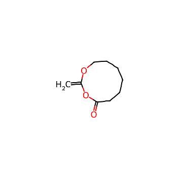 C=C1OCCCCCCC(=O)O1